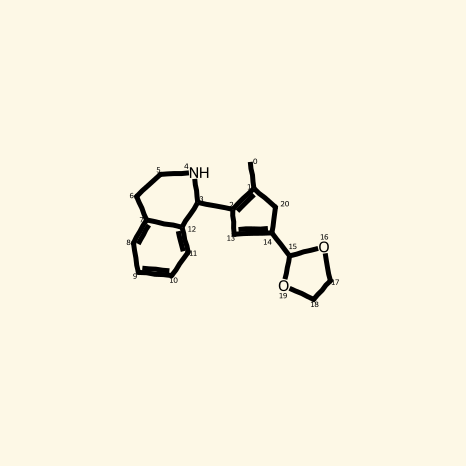 CC1=C(C2NCCc3ccccc32)C=C(C2OCCO2)C1